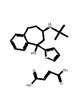 CC(C)(C)NC1CCc2ccccc2C(O)(c2cccs2)C1.O=C(O)C=CC(=O)O